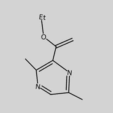 C=C(OCC)c1nc(C)cnc1C